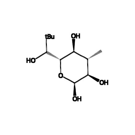 C[C@@H]1[C@@H](O)[C@@H](O)O[C@H](C(O)C(C)(C)C)[C@H]1O